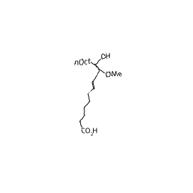 CCCCCCCCC(O)C(CCCCCCCC(=O)O)OC